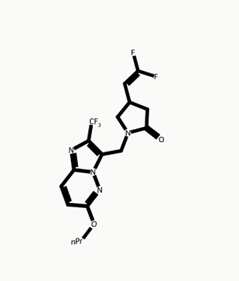 CCCOc1ccc2nc(C(F)(F)F)c(CN3CC(C=C(F)F)CC3=O)n2n1